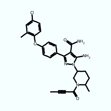 CC#CC(=O)N1CC(n2nc(-c3ccc(Oc4ccc(Cl)cc4C)cc3)c(C(N)=O)c2N)CCC1C